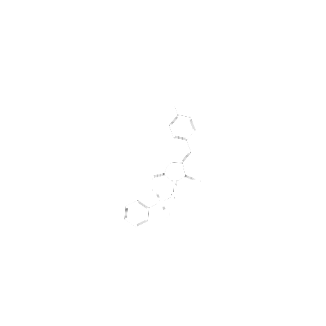 O=C1C(=Cc2ccc(F)cc2)SC(=S)N1NS(=O)(=O)c1ccccc1